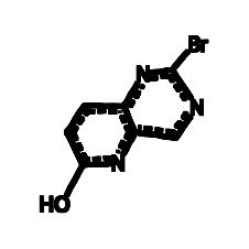 Oc1ccc2nc(Br)ncc2n1